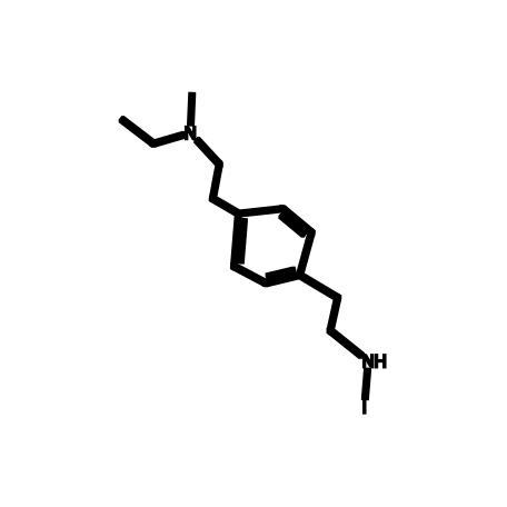 CCN(C)CCc1ccc(CCNI)cc1